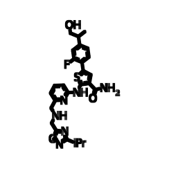 CC(C)c1noc(CNCc2cccc(Nc3sc(-c4ccc(C(C)CO)cc4F)cc3C(N)=O)n2)n1